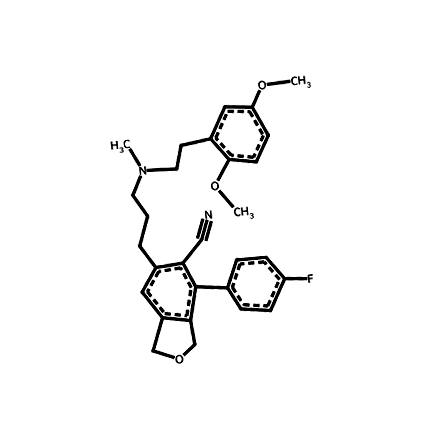 COc1ccc(OC)c(CCN(C)CCCc2cc3c(c(-c4ccc(F)cc4)c2C#N)COC3)c1